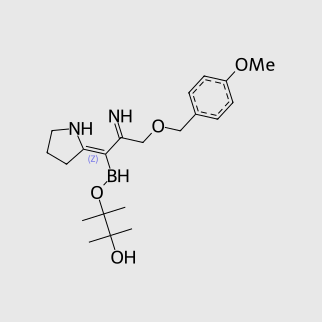 COc1ccc(COCC(=N)/C(BOC(C)(C)C(C)(C)O)=C2/CCCN2)cc1